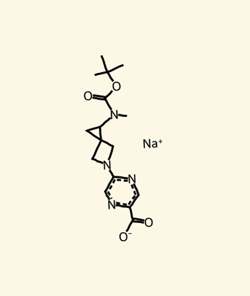 CN(C(=O)OC(C)(C)C)C1CC12CN(c1cnc(C(=O)[O-])cn1)C2.[Na+]